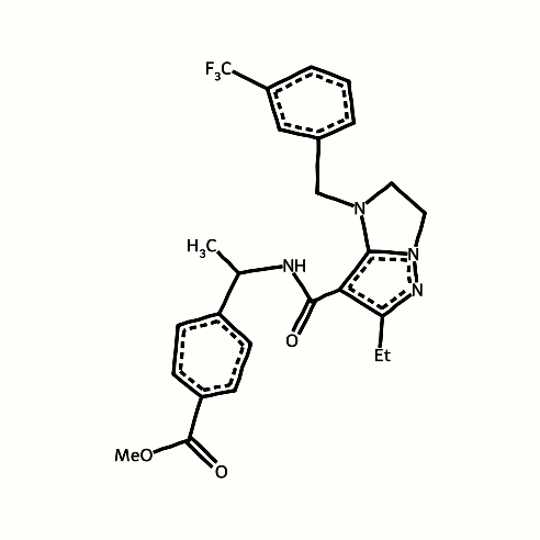 CCc1nn2c(c1C(=O)NC(C)c1ccc(C(=O)OC)cc1)N(Cc1cccc(C(F)(F)F)c1)CC2